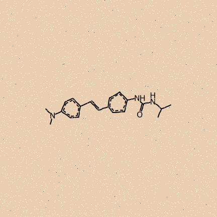 CC(C)NC(=O)Nc1ccc(C=Cc2ccc(N(C)C)cc2)cc1